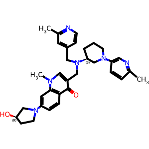 Cc1ccc(N2CCC[C@H](N(Cc3ccnc(C)c3)Cc3cn(C)c4cc(N5CC[C@@H](O)C5)ccc4c3=O)C2)cn1